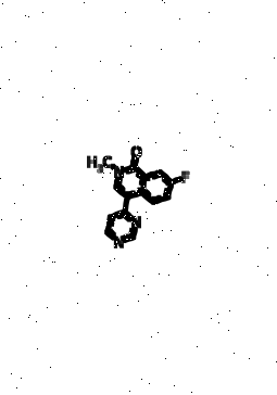 Cn1cc(-c2ccncn2)c2ccc(F)cc2c1=O